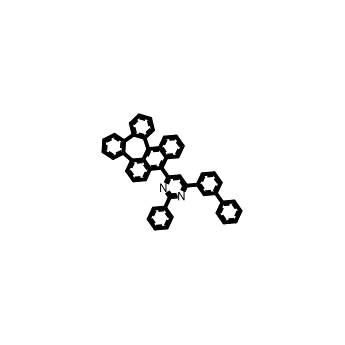 c1ccc(-c2cccc(-c3cc(-c4c5ccccc5c5c6c(cccc46)-c4ccccc4-c4ccccc4-5)nc(-c4ccccc4)n3)c2)cc1